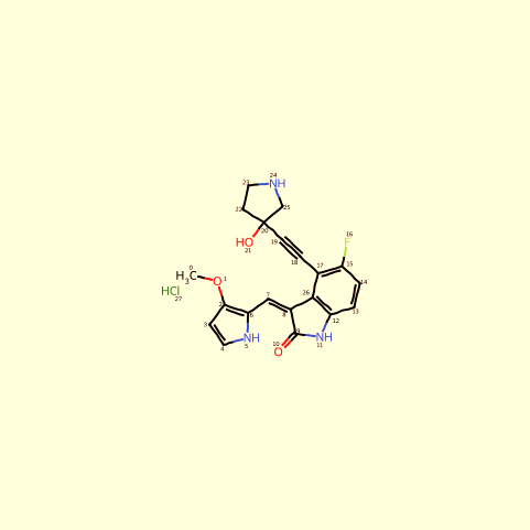 COc1cc[nH]c1C=C1C(=O)Nc2ccc(F)c(C#CC3(O)CCNC3)c21.Cl